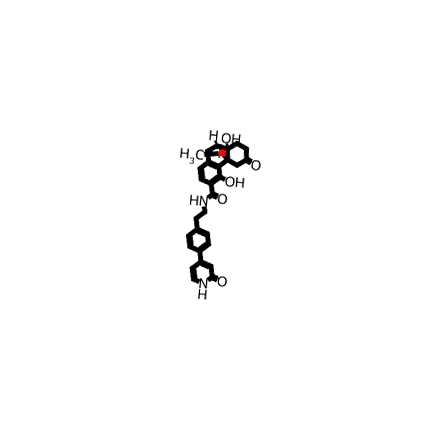 CN1CC23CC(=O)CC[C@@]2(O)[C@H]1Cc1ccc(C(=O)NCCc2ccc(-c4cc[nH]c(=O)c4)cc2)c(O)c13